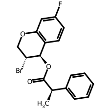 C[C@@H](C(=O)O[C@@H]1c2ccc(F)cc2OC[C@H]1Br)c1ccccc1